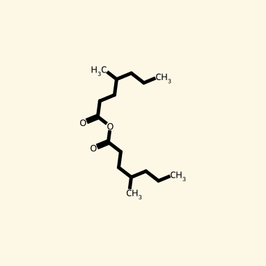 CCCC(C)CCC(=O)OC(=O)CCC(C)CCC